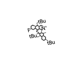 Cc1c2c(c(CC(C)(C)C)c3ccc(CC(C)(C)C)cc13)Sc1c3cc(F)ccc3c(CC(C)(C)C)c3cc[n+](C)c-2c13